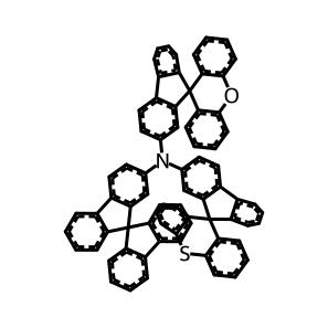 c1ccc2c(c1)Oc1ccccc1C21c2ccccc2-c2ccc(N(c3ccc4c(c3)C3(c5ccccc5Sc5ccccc53)c3ccccc3-4)c3ccc4c(c3)C3(c5ccccc5-c5ccccc53)c3ccccc3-4)cc21